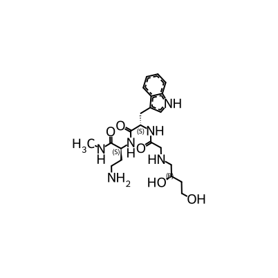 CNC(=O)[C@H](CCN)NC(=O)[C@H](Cc1c[nH]c2ccccc12)NC(=O)CNC[C@H](O)CCO